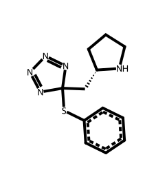 c1ccc(SC2(C[C@@H]3CCCN3)N=NN=N2)cc1